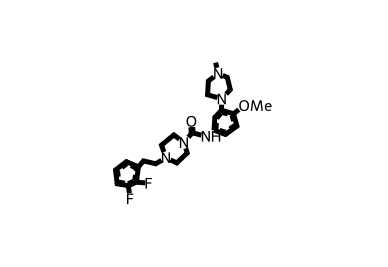 COc1ccc(NC(=O)N2CCN(CCc3cccc(F)c3F)CC2)cc1N1CCN(C)CC1